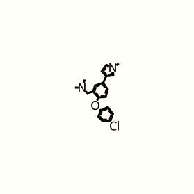 CN(C)Cc1cc(-c2ccn(C)c2)ccc1Oc1ccc(Cl)cc1